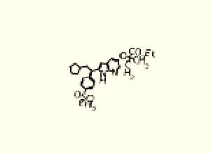 CCOC(=O)C(C)(C)Oc1cnc2[nH]c(C(CC3CCCC3)c3ccc(S(C)(=O)=O)cc3)cc2c1